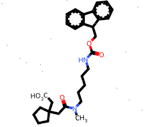 CN(CCCCCNC(=O)OCC1c2ccccc2-c2ccccc21)C(=O)CC1(CC(=O)O)CCCC1